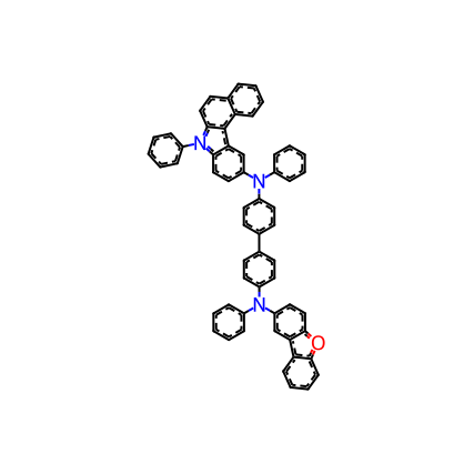 c1ccc(N(c2ccc(-c3ccc(N(c4ccccc4)c4ccc5c(c4)c4c6ccccc6ccc4n5-c4ccccc4)cc3)cc2)c2ccc3oc4ccccc4c3c2)cc1